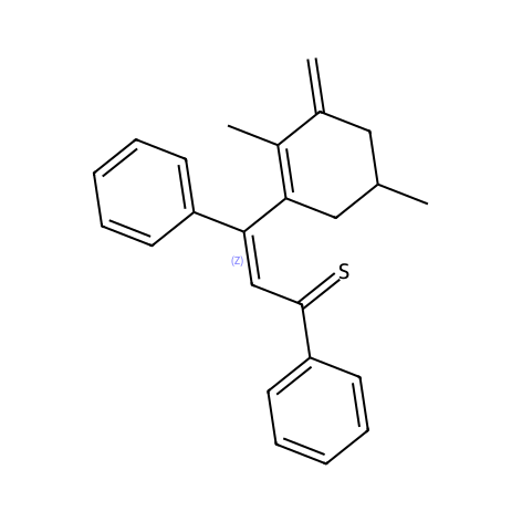 C=C1CC(C)CC(/C(=C\C(=S)c2ccccc2)c2ccccc2)=C1C